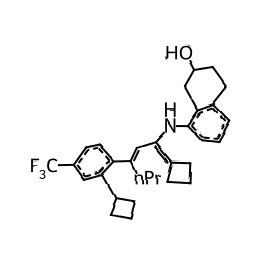 CCC/C(=C\C(Nc1cccc2c1CC(O)CC2)=C1CCC1)c1ccc(C(F)(F)F)cc1C1CCC1